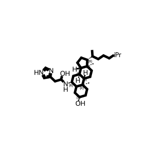 CC(C)CCCC(C)[C@H]1CC[C@H]2[C@@H]3C[C@@H](NC(O)Cc4c[nH]cn4)C4C[C@@H](O)CC[C@]4(C)[C@H]3CC[C@]12C